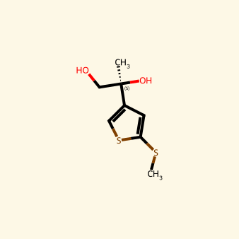 CSc1cc([C@](C)(O)CO)cs1